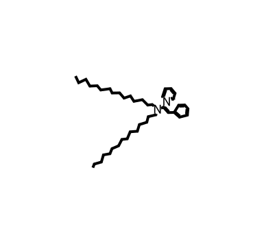 CCCCCCCCCCCCCCCN(CCCCCCCCCCCCCCC)C(=Cc1ccccc1)[n+]1ccccc1